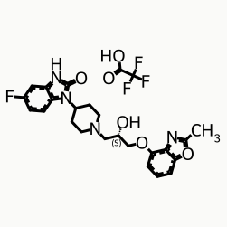 Cc1nc2c(OC[C@@H](O)CN3CCC(n4c(=O)[nH]c5cc(F)ccc54)CC3)cccc2o1.O=C(O)C(F)(F)F